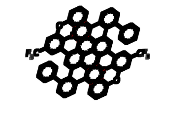 FC(F)(F)c1cc2c3c(c1)-c1cc(-c4c(-c5ccccc5)cccc4-c4ccccc4)c4cc5c6c(cc(-c7c(-c8ccccc8)cccc7-c7ccccc7)c7cc(c1c4c76)B3c1ccccc1O2)-c1cc(C(F)(F)F)cc2c1B5c1ccccc1O2